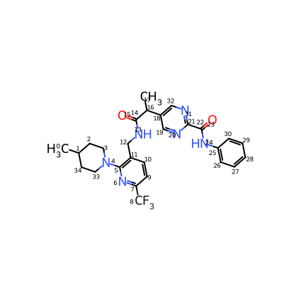 CC1CCN(c2nc(C(F)(F)F)ccc2CNC(=O)C(C)c2cnc(C(=O)Nc3ccccc3)nc2)CC1